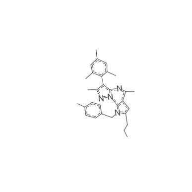 CCCc1cc2c(C)nc3c(-c4c(C)cc(C)cc4C)c(C)nn3c2n1Cc1ccc(C)cc1